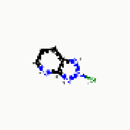 Brn1nc2cccnc2n1